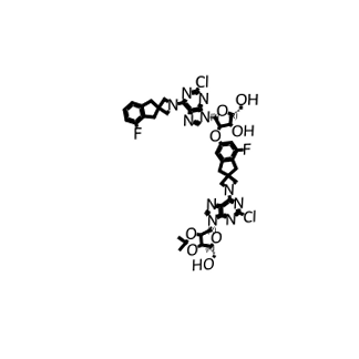 CC1(C)OC2C(O1)[C@@H](CO)O[C@H]2n1cnc2c(N3CC4(Cc5cc(OC6C(O)[C@@H](CO)O[C@H]6n6cnc7c(N8CC9(Cc%10cccc(F)c%10C9)C8)nc(Cl)nc76)cc(F)c5C4)C3)nc(Cl)nc21